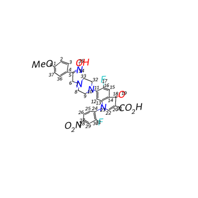 COc1ccc(C(CN2CCN(c3cc4c(cc3F)c(=O)c(C(=O)O)cn4-c3ccc([N+](=O)[O-])cc3F)CC2)=NO)cc1